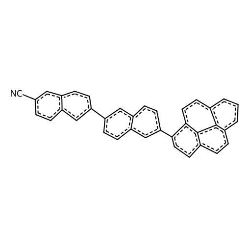 N#Cc1ccc2cc(-c3ccc4cc(-c5ccc6ccc7cccc8ccc5c6c78)ccc4c3)ccc2c1